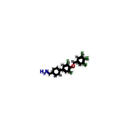 NCC1CCC(c2cc(F)c(OCc3cc(F)c(F)c(F)c3)c(F)c2)CC1